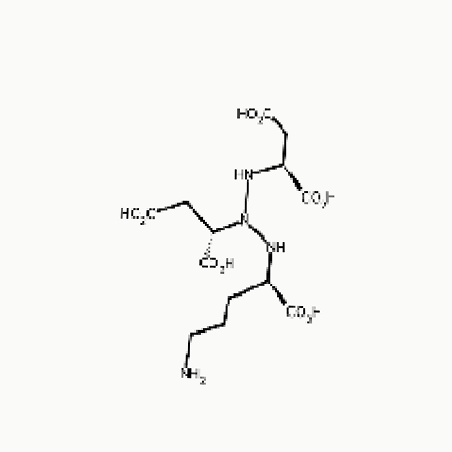 NCCC[C@@H](NN(N[C@@H](CC(=O)O)C(=O)O)[C@@H](CC(=O)O)C(=O)O)C(=O)O